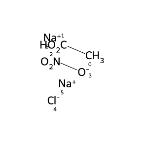 CC(=O)O.O=[N+]([O-])[O-].[Cl-].[Na+].[Na+]